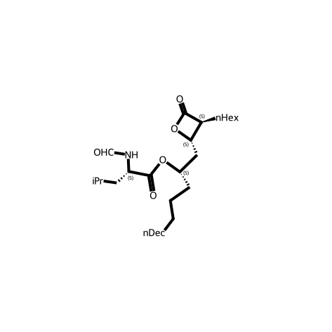 CCCCCCCCCCCCC[C@@H](C[C@@H]1OC(=O)[C@H]1CCCCCC)OC(=O)[C@H](CC(C)C)NC=O